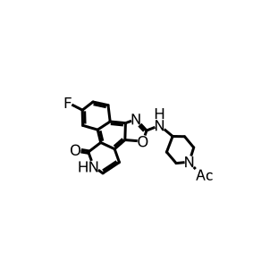 CC(=O)N1CCC(Nc2nc3c4ccc(F)cc4c4c(=O)[nH]ccc4c3o2)CC1